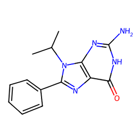 CC(C)n1c(-c2ccccc2)nc2c(=O)[nH]c(N)nc21